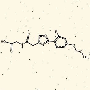 COCOc1ccc(-c2nc(CC(=O)NCC(=O)O)cs2)c(F)c1